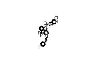 O=C(NCc1ccnc(Cl)c1)N1CC2(CCN(C/C=C/c3ccc(F)cc3)CC2)c2c1cccc2C(F)(F)F